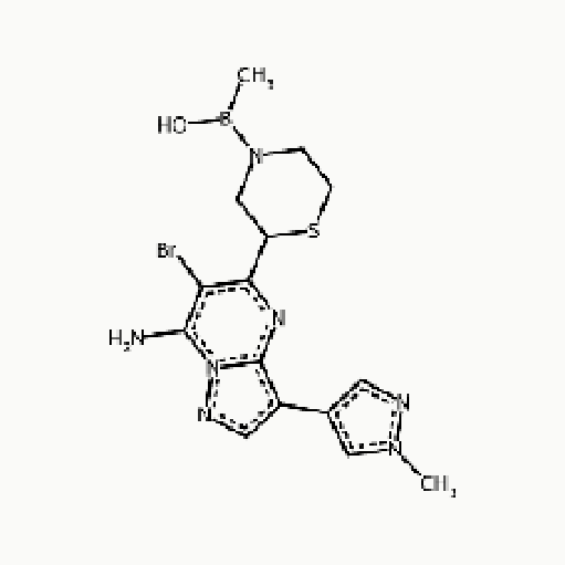 CB(O)N1CCSC(c2nc3c(-c4cnn(C)c4)cnn3c(N)c2Br)C1